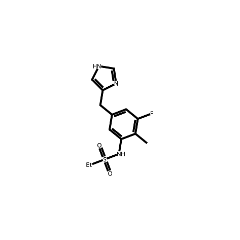 CCS(=O)(=O)Nc1cc(Cc2c[nH]cn2)cc(F)c1C